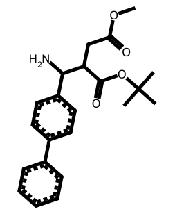 COC(=O)CC(C(=O)OC(C)(C)C)C(N)c1ccc(-c2ccccc2)cc1